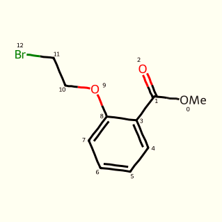 COC(=O)c1ccccc1OCCBr